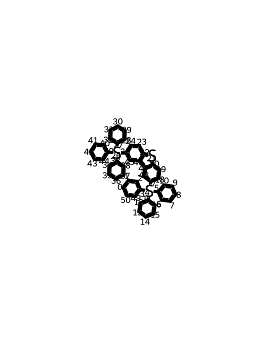 c1ccc(S(c2ccccc2)(c2ccccc2)c2ccc3sc4ccc(S(c5ccccc5)(c5ccccc5)c5ccccc5)cc4c3c2)cc1